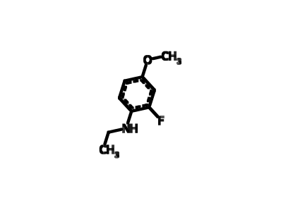 CCNc1ccc(OC)cc1F